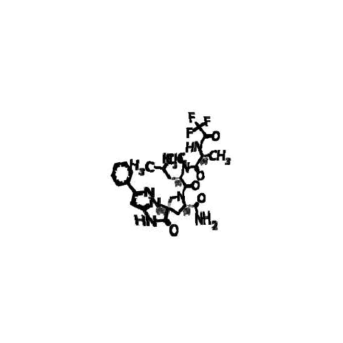 CC(C)C[C@@H](C(=O)N1C[C@]2(C[C@H]1C(N)=O)C(=O)Nc1cc(-c3ccccc3)nn12)N(C)C(=O)[C@H](C)NC(=O)C(F)(F)F